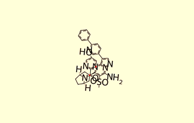 CS(=O)(=O)c1c([C@H]2C[C@H]3CC[C@@H](C2)N3C(=O)c2ccc(O)cn2)nc2c(-c3ccc(-c4ccccc4)nc3)cnn2c1N